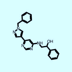 OC(CNc1cc(-c2cnn(Cc3ccccc3)c2)ncn1)c1ccccc1